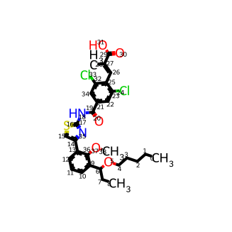 CCCCCOC(CC)c1cccc(-c2csc(NC(=O)c3cc(Cl)c(C=C(C)C(=O)O)c(Cl)c3)n2)c1OC